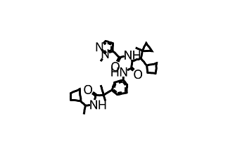 CC(NC(=O)C(C)(C)c1cccc(NC(=O)[C@@H](NC(=O)c2ccnn2C)C(C2CCC2)C2(C)CC2)c1)C1CCC1